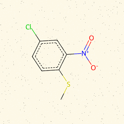 CSc1ccc(Cl)cc1[N+](=O)[O-]